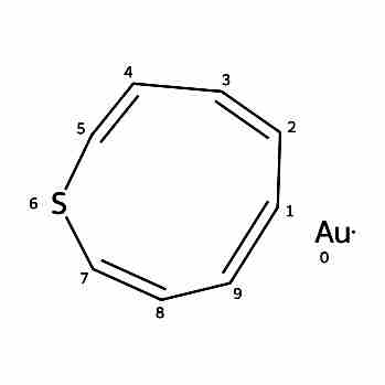 [Au].c1ccccsccc1